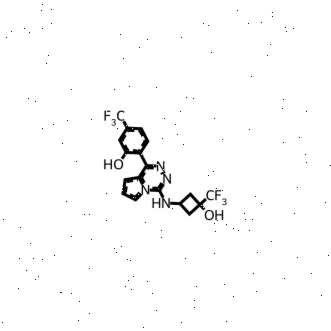 Oc1cc(C(F)(F)F)ccc1-c1nnc(NC2CC(O)(C(F)(F)F)C2)n2cccc12